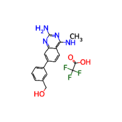 CNc1nc(N)nc2cc(-c3cccc(CO)c3)ccc12.O=C(O)C(F)(F)F